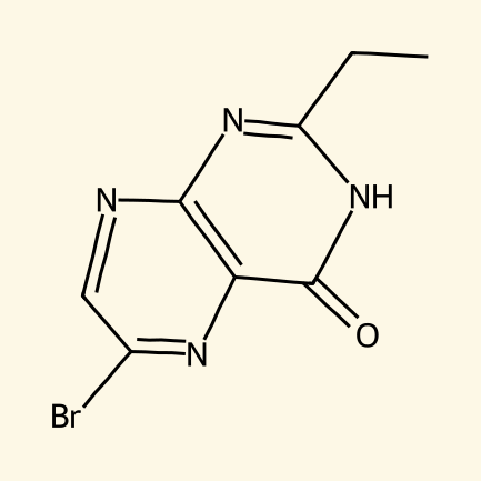 CCc1nc2ncc(Br)nc2c(=O)[nH]1